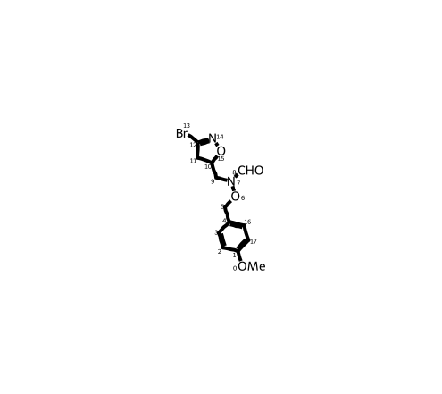 COc1ccc(CON(C=O)CC2CC(Br)=NO2)cc1